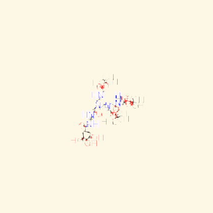 CC(C)(C)OC(=O)CNCCN(CCN(CCNCC(=O)OC(C)(C)C)CC(=O)OC(C)(C)C)CC(=O)NCCNC(=O)c1cc(O)c(O)c(O)c1